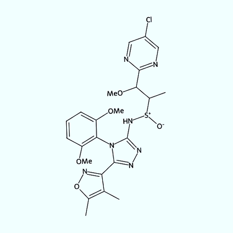 COc1cccc(OC)c1-n1c(N[S+]([O-])C(C)C(OC)c2ncc(Cl)cn2)nnc1-c1noc(C)c1C